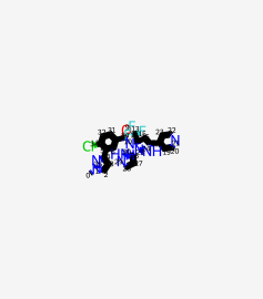 Cn1ccc(-c2cc(C(=O)NC3(C(F)(F)F)C=C(c4ccncc4)NN3c3ccn[nH]3)ccc2Cl)n1